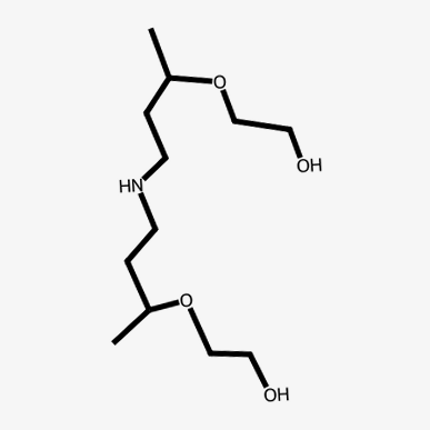 CC(CCNCCC(C)OCCO)OCCO